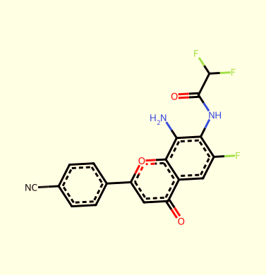 N#Cc1ccc(-c2cc(=O)c3cc(F)c(NC(=O)C(F)F)c(N)c3o2)cc1